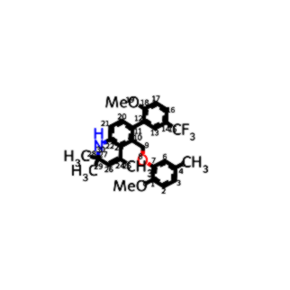 COc1ccc(C)cc1OCc1c(-c2cc(C(F)(F)F)ccc2OC)ccc2c1C(C)=CC(C)(C)N2